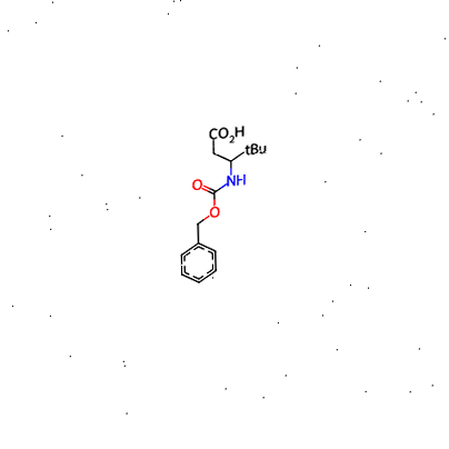 CC(C)(C)C(CC(=O)O)NC(=O)OCc1ccccc1